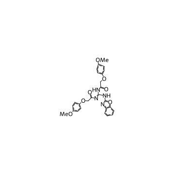 COc1ccc(OCC(=O)/N=C(\NC(=O)COc2ccc(OC)cc2)Nc2nc3ccccc3o2)cc1